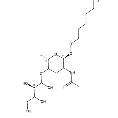 CC(=O)NC1CC(OC(O)[C@H](O)C(O)CO)[C@H](C)O[C@H]1OOCCCCCN